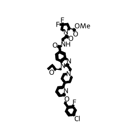 COC(=O)[C@@H]1CC(F)(F)CN1C(=O)CNC(=O)c1ccc2c(c1)nc(CN1CCC(c3cccc(OCc4ccc(Cl)cc4F)n3)CC1)n2C[C@@H]1CCO1